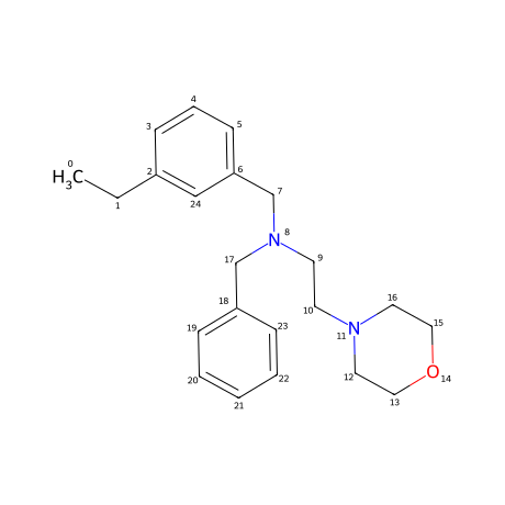 CCc1cccc(CN(CCN2CCOCC2)Cc2ccccc2)c1